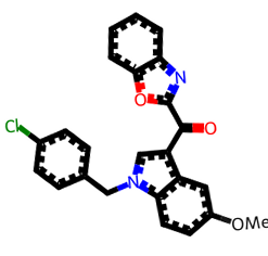 COc1ccc2c(c1)c(C(=O)c1nc3ccccc3o1)cn2Cc1ccc(Cl)cc1